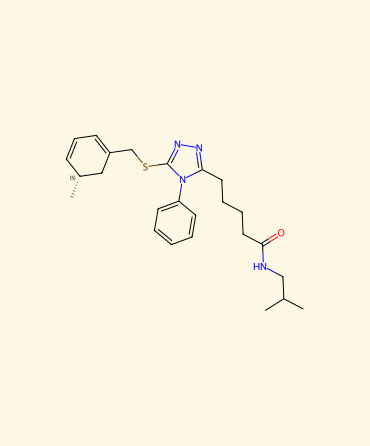 CC(C)CNC(=O)CCCCc1nnc(SCC2=CC=C[C@@H](C)C2)n1-c1ccccc1